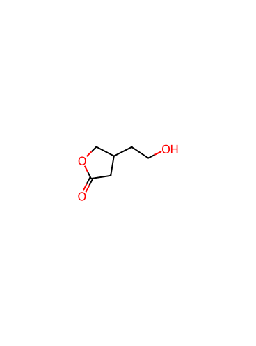 O=C1CC(CCO)CO1